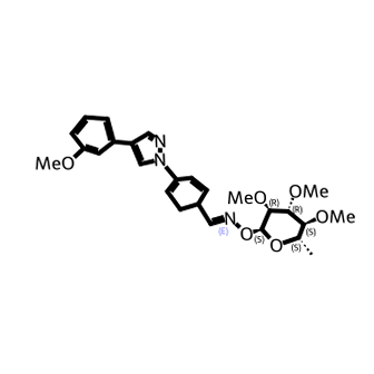 COc1cccc(-c2cnn(C3=CCC(/C=N/O[C@@H]4O[C@@H](C)[C@H](OC)[C@@H](OC)[C@H]4OC)C=C3)c2)c1